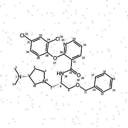 CN(C)[C@@H]1CCN(C[C@@H](COCc2ccccc2)NC(=O)c2cccnc2Oc2ccc(Cl)cc2Cl)C1